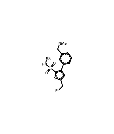 CNCc1cccc(-c2cc(CC(C)C)sc2S(=O)(=O)NC(C)(C)C)c1